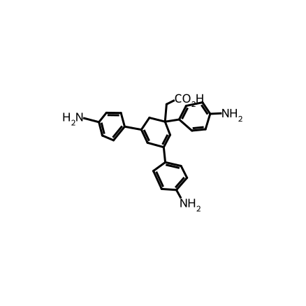 Nc1ccc(C2=CC(CC(=O)O)(c3ccc(N)cc3)CC(c3ccc(N)cc3)=C2)cc1